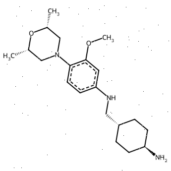 COc1cc(NC[C@H]2CC[C@H](N)CC2)ccc1N1C[C@@H](C)O[C@@H](C)C1